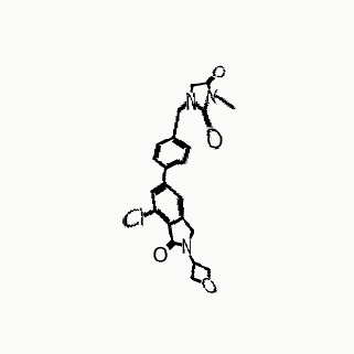 CN1C(=O)CN(Cc2ccc(-c3cc(Cl)c4c(c3)CN(C3COC3)C4=O)cc2)C1=O